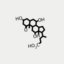 CC(CCC(=O)O)C1CCC2C3C(O)CC4CC(O)CC(=O)C4(C)C3CC(O)C12C